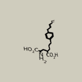 NC(CC(CCCc1ccc(CCCF)cc1)C(=O)O)C(=O)O